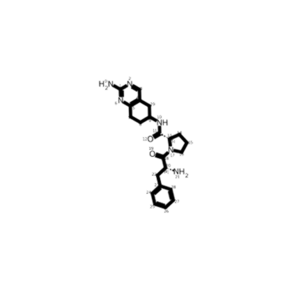 Nc1ncc2c(n1)CCC(NC(=O)[C@@H]1CCCN1C(=O)[C@H](N)Cc1ccccc1)C2